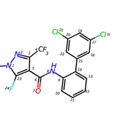 Cn1nc(C(F)(F)F)c(C(=O)Nc2ccccc2-c2cc(Cl)cc(Cl)c2)c1F